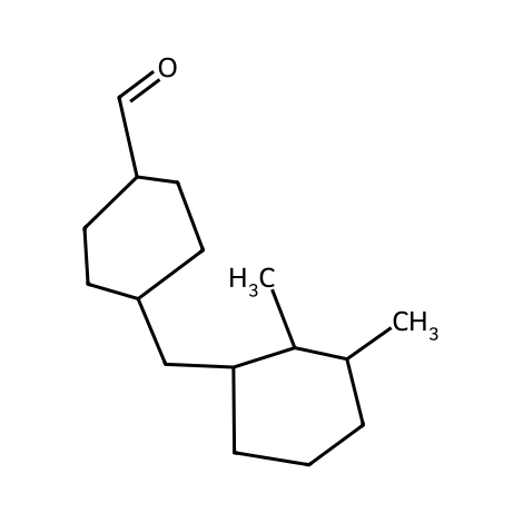 CC1CCCC(CC2CCC(C=O)CC2)C1C